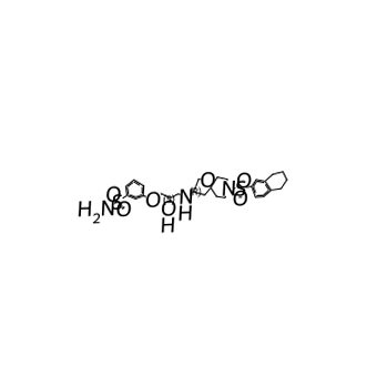 NS(=O)(=O)c1cccc(OC[C@@H](O)CN[C@H]2COC3(CCN(S(=O)(=O)c4ccc5c(c4)CCCC5)CC3)C2)c1